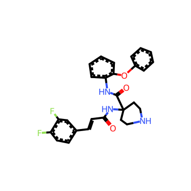 O=C(C=Cc1ccc(F)c(F)c1)NC1(C(=O)Nc2ccccc2Oc2ccccc2)CCNCC1